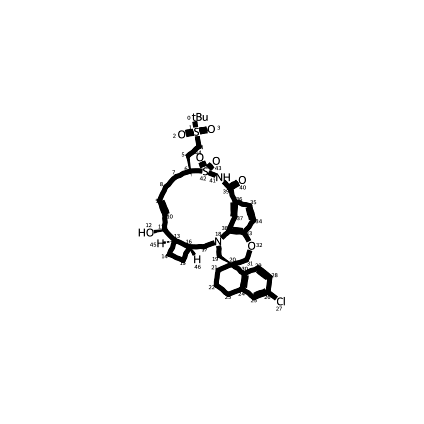 CC(C)(C)S(=O)(=O)CC[C@@H]1CC/C=C/[C@H](O)[C@@H]2CC[C@H]2CN2C[C@@]3(CCCc4cc(Cl)ccc43)COc3ccc(cc32)C(=O)NS1(=O)=O